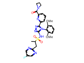 COc1cccc(OC)c1-n1c(NS(=O)(=O)C(C)Cc2ncc(F)cn2)nnc1-c1cccc(C(=O)N2CCC2)n1